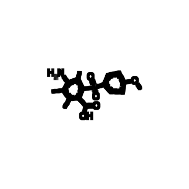 COc1ccc(S(=O)(=O)c2c(C)c(N)c(C)c(C)c2C(=O)O)cc1